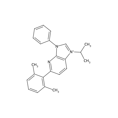 Cc1cccc(C)c1-c1ccc2c(n1)n(-c1ccccc1)c[n+]2C(C)C